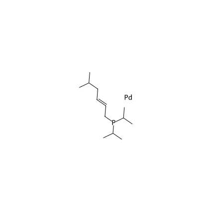 CC(C)CC=CCP(C(C)C)C(C)C.[Pd]